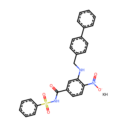 O=C(NS(=O)(=O)c1ccccc1)c1ccc([N+](=O)[O-])c(NCc2ccc(-c3ccccc3)cc2)c1.[KH]